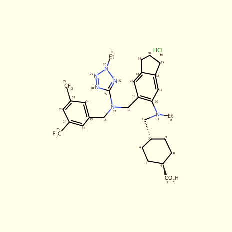 CCN(C[C@H]1CC[C@H](C(=O)O)CC1)c1cc2c(cc1CN(Cc1cc(C(F)(F)F)cc(C(F)(F)F)c1)c1nnn(CC)n1)CCC2.Cl